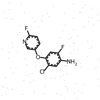 Nc1cc(Cl)c(Oc2ccc(F)nc2)cc1F